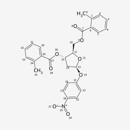 Cc1ccccc1C(=O)OC[C@H]1O[C@@H](Oc2ccc([N+](=O)[O-])cc2)C[C@@H]1OC(=O)c1ccccc1C